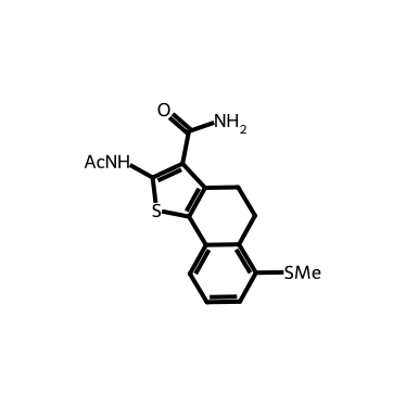 CSc1cccc2c1CCc1c-2sc(NC(C)=O)c1C(N)=O